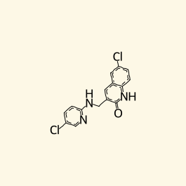 O=c1[nH]c2ccc(Cl)cc2cc1CNc1ccc(Cl)cn1